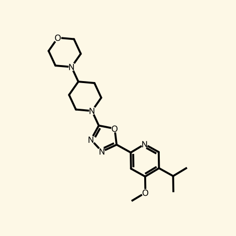 COc1cc(-c2nnc(N3CCC(N4CCOCC4)CC3)o2)ncc1C(C)C